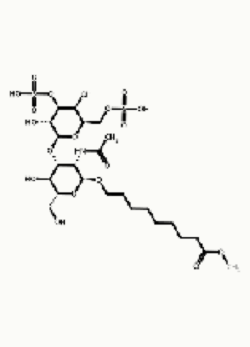 COC(=O)CCCCCCCCO[C@H]1O[C@H](CO)[C@@H](O)[C@H](O[C@@H]2O[C@H](COS(=O)(=O)O)[C@H](O)[C@H](OS(=O)(=O)O)[C@H]2O)[C@@H]1NC(C)=O